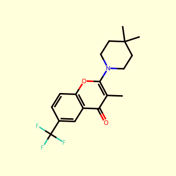 Cc1c(N2CCC(C)(C)CC2)oc2ccc(C(F)(F)F)cc2c1=O